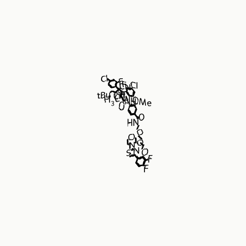 COc1cc(C(=O)NCCOCCOCCOc2c(-c3csc(N4CCOCC4)n3)ccc(F)c2F)ccc1NC(=O)[C@H](C)[C@H](c1cccc(Cl)c1F)[C@@](C#N)(c1ccc(Cl)cc1F)[C@@H](C)CC(C)(C)C